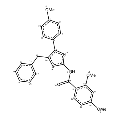 COc1ccc(-c2nc(NC(=O)c3ccc(OC)cc3OC)sc2Cc2ccccc2)cc1